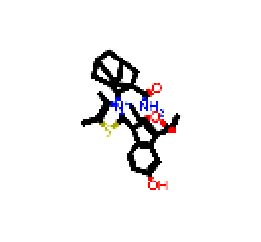 CCC1=CC(C2SC(C)=C(C)[N+]2(CCOC)C2C3CC4CC(C3)CC2(C(N)=O)C4)c2ccc(O)cc21